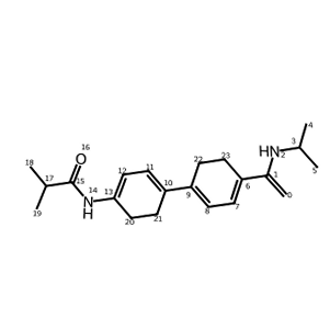 C=C(NC(C)C)C1=CC=C(C2=CC=C(NC(=O)C(C)C)CC2)CC1